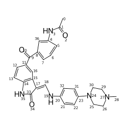 CC(=O)Nc1cccc(C(=O)c2ccc3c(c2)C(=CNc2ccc(N4CCN(C)CC4)cc2)C(=O)N3)c1